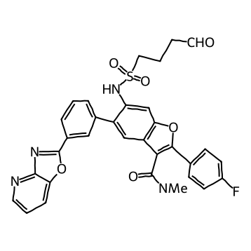 CNC(=O)c1c(-c2ccc(F)cc2)oc2cc(NS(=O)(=O)CCCC=O)c(-c3cccc(-c4nc5ncccc5o4)c3)cc12